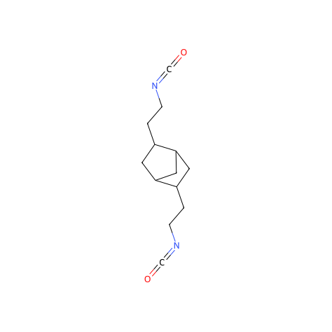 O=C=NCCC1CC2CC1CC2CCN=C=O